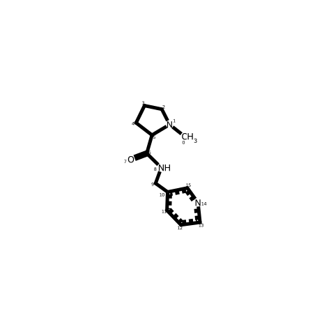 CN1CCCC1C(=O)NCc1cccnc1